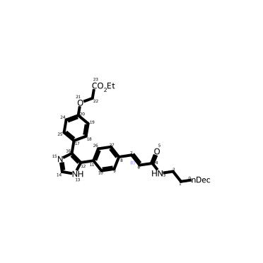 CCCCCCCCCCCCNC(=O)/C=C/c1ccc(-c2[nH]cnc2-c2ccc(OCC(=O)OCC)cc2)cc1